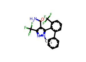 Cn1nc(C(F)(F)F)c(C(N)=O)c1-c1c(-c2ccccc2)cccc1C(F)(F)F